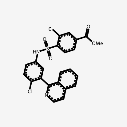 COC(=O)c1ccc(S(=O)(=O)Nc2ccc(Cl)c(-c3nccc4ccccc34)c2)c(Cl)c1